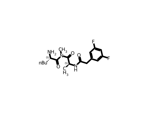 CCCC[C@H](N)C(=O)N(C)C(=O)[C@H](C)NC(=O)Cc1cc(F)cc(F)c1